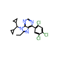 CCc1nc2c(-c3cc(Cl)c(Cl)cc3Cl)ncnc2n1C(C1CC1)C1CC1